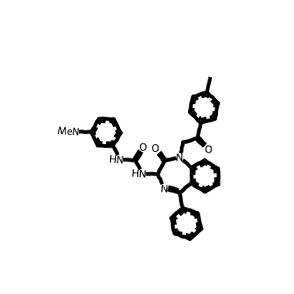 CNc1cccc(NC(=O)NC2N=C(c3ccccc3)c3ccccc3N(CC(=O)c3ccc(C)cc3)C2=O)c1